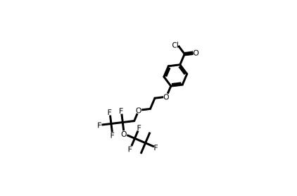 CC(C)(F)C(F)(F)OC(F)(COCCOc1ccc(C(=O)Cl)cc1)C(F)(F)F